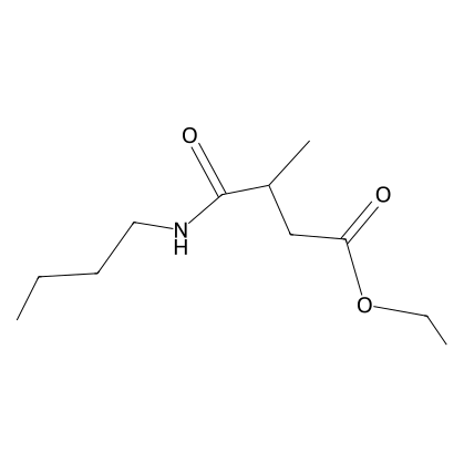 CCCCNC(=O)C(C)CC(=O)OCC